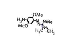 C=C/[N+](C)=C(/N=Nc1cc(OC)c(N)cc1OC)NC